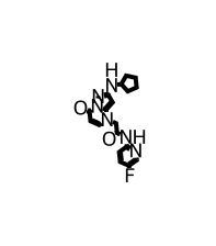 O=C(Cn1ccc(=O)n2nc(NC3CCCC3)cc12)Nc1ccc(F)cn1